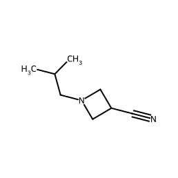 CC(C)CN1CC(C#N)C1